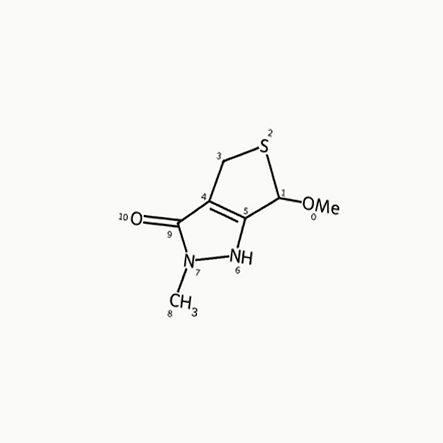 COC1SCc2c1[nH]n(C)c2=O